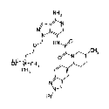 CC1CCC(c2ccc3nn(C(C)C)cc3c2)N(C(=O)C(=O)Nc2cnc(N)c3cnn(COCC[Si](C)(C)C)c23)C1.[Cu]